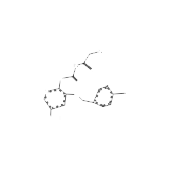 CCOC(=O)c1cnc(OC(=O)NC(=O)CN)c(OCc2ccc(F)cc2)c1